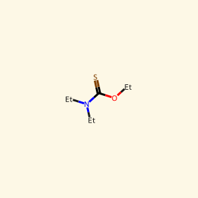 CCOC(=S)N(CC)CC